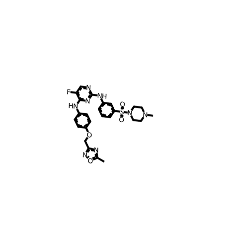 Cc1nc(COc2ccc(Nc3nc(Nc4cccc(S(=O)(=O)N5CCN(C)CC5)c4)ncc3F)cc2)no1